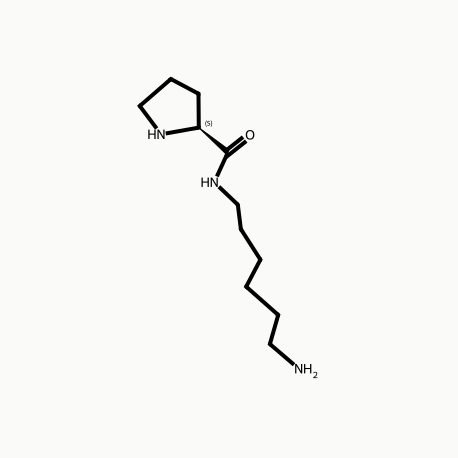 NCCCCCCNC(=O)[C@@H]1CCCN1